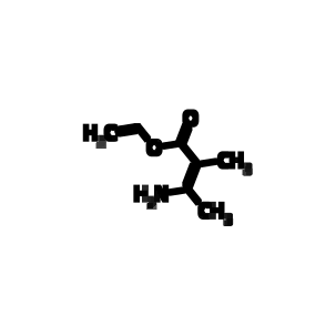 C=COC(=O)C(C)=C(C)N